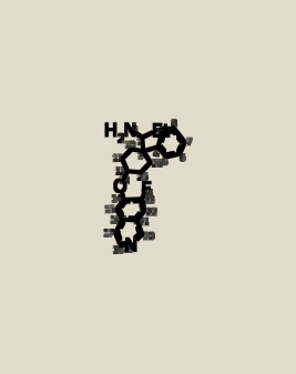 CCC(N)C1(c2ccccc2)CCC(Oc2cc3ccncc3cc2F)CC1